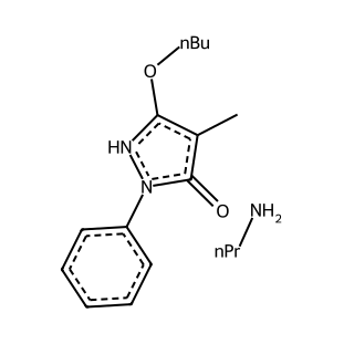 CCCCOc1[nH]n(-c2ccccc2)c(=O)c1C.CCCN